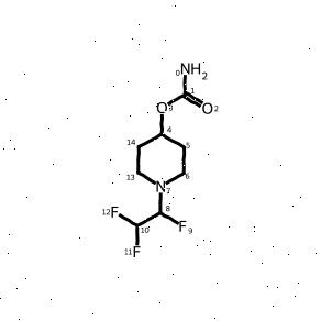 NC(=O)OC1CCN(C(F)C(F)F)CC1